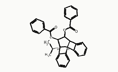 CC(C)[C@@]12c3ccccc3[C@@]13c1ccccc1C3C(OC(=O)c1ccccc1)C2OC(=O)c1ccccc1